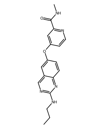 CCCNc1ncc2cc(Oc3ccnc(C(=O)NC)c3)ccc2n1